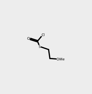 COCCSC(=O)Cl